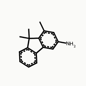 Cc1cc(N)cc2c1C(C)(C)c1ccccc1-2